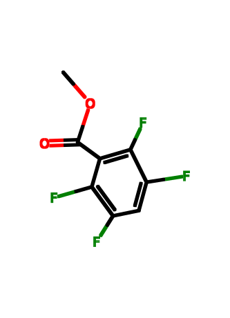 COC(=O)c1c(F)c(F)cc(F)c1F